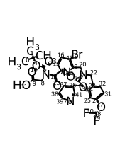 CC(C)(C)OC(=O)N(CC(=O)O)C(=O)c1ccc(Br)c(CN(Cc2ccc(OC(F)F)cc2)S(=O)(=O)c2cccnc2)n1